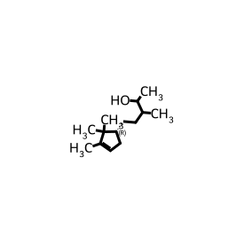 CC1=CC[C@@H](CCC(C)C(C)O)C1(C)C